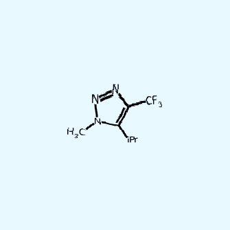 CC(C)c1c(C(F)(F)F)nnn1C